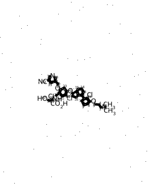 CN(C)CCCOc1cccc(-c2cccc3c2CC[C@@H]3Oc2cc(OCc3cncc(C#N)c3)c(CNC(C)(CO)C(=O)O)cc2Cl)c1Cl